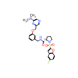 CN(C)c1cncc(COc2cccc(CNC(=O)[C@@H]3CCCN3S(=O)(=O)c3cc4cc(F)ccc4o3)c2)n1